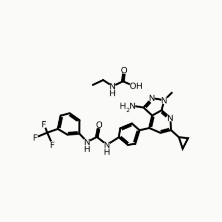 CCNC(=O)O.Cn1nc(N)c2c(-c3ccc(NC(=O)Nc4cccc(C(F)(F)F)c4)cc3)cc(C3CC3)nc21